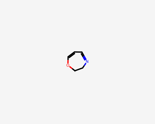 [CH]1CN=CC=CO1